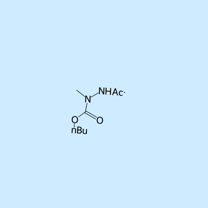 CCCCOC(=O)N(C)[N]C(C)=O